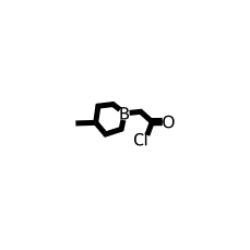 CC1CCB(CC(=O)Cl)CC1